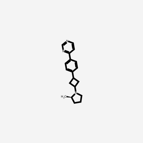 C[C@@H]1CCCN1C1CC(c2ccc(-c3ccncn3)cc2)C1